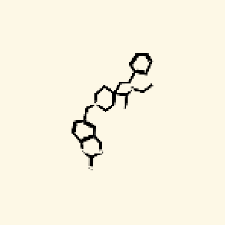 CCOC(C)C1(CCc2ccccc2)CCN(Cc2ccc3c(c2)COC(=O)N3)CC1